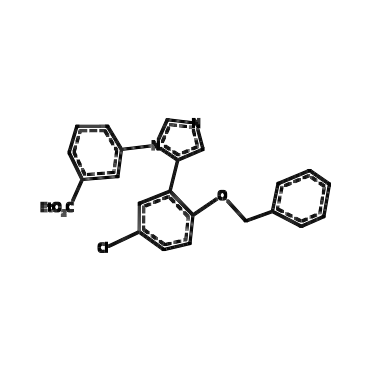 CCOC(=O)c1cccc(-n2cncc2-c2cc(Cl)ccc2OCc2ccccc2)c1